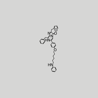 O=c1c(Cc2ccco2)nc2c(Cc3ccccc3)[nH]c(-c3ccc(OCCCCCCNc4ccccc4)cc3)cn1-2